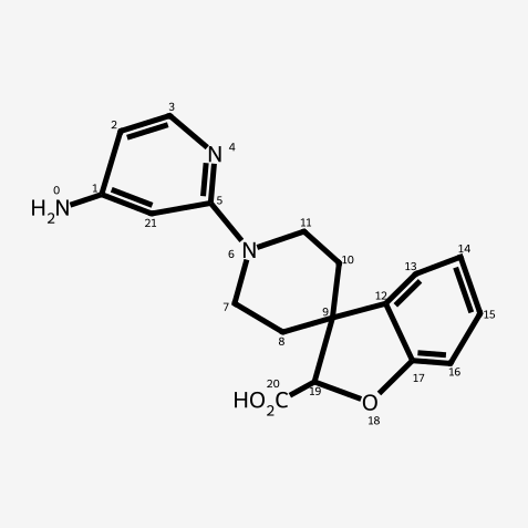 Nc1ccnc(N2CCC3(CC2)c2ccccc2OC3C(=O)O)c1